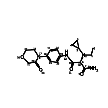 CCN(C1CC1)[C@@H](C(N)=O)C(=O)Nc1ccc(N2CCOCC2=O)cc1